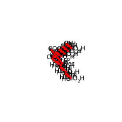 CCCCCCCCCCCCCCCCCCCCCCCCCC(=O)O.O=C(O)[C@H](O)[C@@H](O)[C@H](O)[C@H](O)CO.O=C(O)[C@H](O)[C@@H](O)[C@H](O)[C@H](O)CO.O=C(O)[C@H](O)[C@@H](O)[C@H](O)[C@H](O)CO.O=C(O)[C@H](O)[C@@H](O)[C@H](O)[C@H](O)CO.O=C(O)[C@H](O)[C@@H](O)[C@H](O)[C@H](O)CO.O=C(O)[C@H](O)[C@@H](O)[C@H](O)[C@H](O)CO.O=C(O)[C@H](O)[C@@H](O)[C@H](O)[C@H](O)CO.O=C(O)c1cc(Cl)c(C(=O)O)cc1Cl